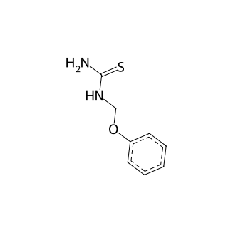 NC(=S)NCOc1ccccc1